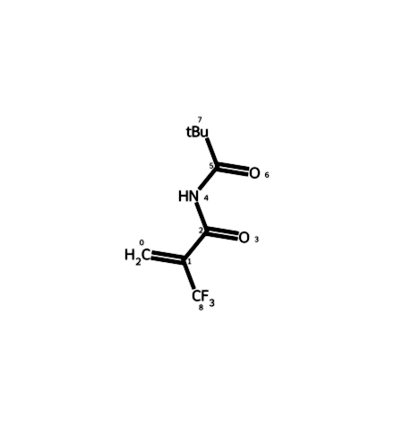 C=C(C(=O)NC(=O)C(C)(C)C)C(F)(F)F